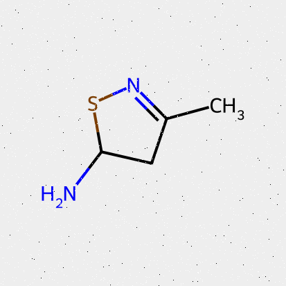 CC1=NSC(N)C1